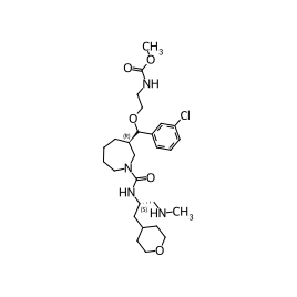 CNC[C@H](CC1CCOCC1)NC(=O)N1CCCC[C@@H](C(OCCNC(=O)OC)c2cccc(Cl)c2)C1